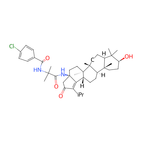 CC(C)C1=C2[C@H]3CC[C@@H]4[C@@]5(C)CC[C@H](O)C(C)(C)[C@@H]5CC[C@@]4(C)[C@]3(C)CC[C@@]2(NC(=O)C(C)(C)NC(=O)c2ccc(Cl)cc2)CC1=O